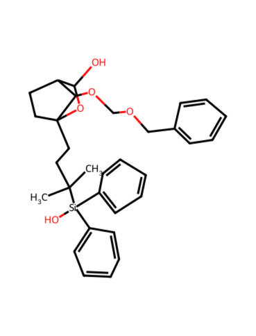 CC(C)(CCC12CCC(C(O)O1)C2OCOCc1ccccc1)[Si](O)(c1ccccc1)c1ccccc1